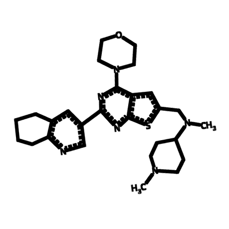 CN1CCC(N(C)Cc2cc3c(N4CCOCC4)nc(-c4cnc5c(c4)CCCC5)nc3s2)CC1